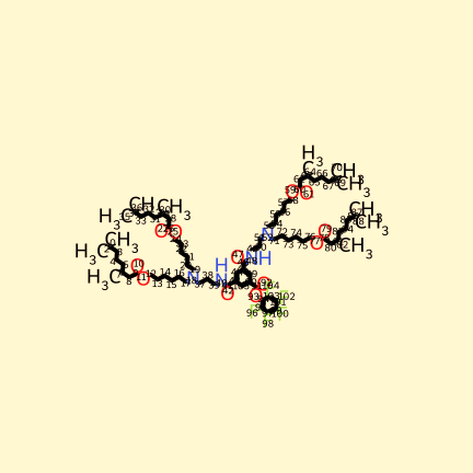 CC(C)CCCC(C)CC(=O)OCCCCCCN(CCCCCCOC(=O)CC(C)CCCC(C)C)CCCNC(=O)c1cc(C(=O)NCCCN(CCCCCCOC(=O)CC(C)CCCC(C)C)CCCCCCOC(=O)CC(C)CCCC(C)C)cc(C(=O)Oc2c(F)c(F)c(F)c(F)c2F)c1